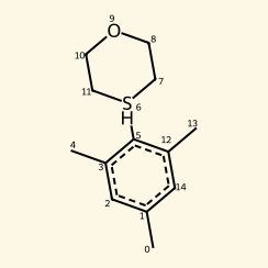 Cc1cc(C)c([SH]2CCOCC2)c(C)c1